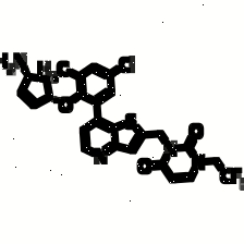 Cc1cc(Cl)cc(-c2ccnc3cc(Cn4c(=O)ccn(CC(F)(F)F)c4=O)sc23)c1O[C@@H]1C=C[C@@H](N)C1